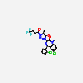 C[C@H](NC(=O)CCC(F)(F)F)C(=O)NC1N=C(c2ccccc2Cl)c2cc(Cl)ccc2N(C)C1=O